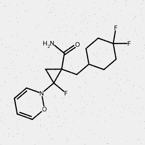 NC(=O)C1(CC2CCC(F)(F)CC2)CC1(F)N1C=CC=CO1